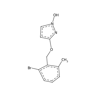 Cc1cccc(Br)c1COc1ccn(O)n1